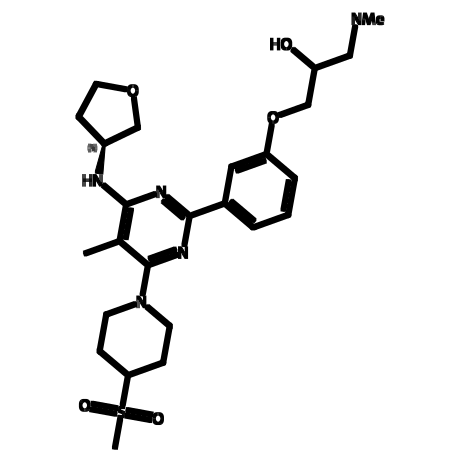 CNCC(O)COc1cccc(-c2nc(N[C@H]3CCOC3)c(C)c(N3CCC(S(C)(=O)=O)CC3)n2)c1